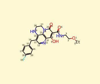 CCOCCNC(=O)c1c(O)c2ncc(Cc3ccc(F)cc3)c3c2n(c1=O)CCN3